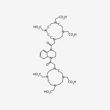 O=C(O)CN1CCN(CC(=O)O)CCN(CC(=O)N2CCN(C(=O)CN3CCN(CC(=O)O)CCN(CC(=O)O)CCN(CC(=O)O)CC3)C3CC=CC=C32)CCN(CC(=O)O)CC1